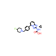 C1CC1.O=C(O)Nc1nc2cccc(-c3ccc(CN4CCC(F)CC4)cc3)n2n1